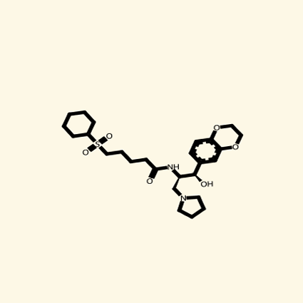 O=C(CCCCS(=O)(=O)C1CCCCC1)N[C@H](CN1CCCC1)[C@H](O)c1ccc2c(c1)OCCO2